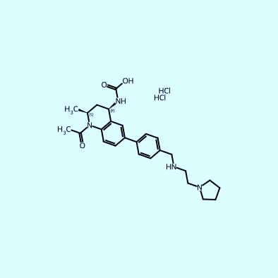 CC(=O)N1c2ccc(-c3ccc(CNCCN4CCCC4)cc3)cc2[C@H](NC(=O)O)C[C@@H]1C.Cl.Cl